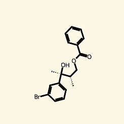 C[C@@H](COC(=O)c1ccccc1)[C@](C)(O)c1cccc(Br)c1